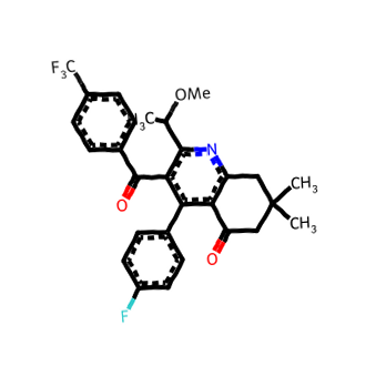 COC(C)c1nc2c(c(-c3ccc(F)cc3)c1C(=O)c1ccc(C(F)(F)F)cc1)C(=O)CC(C)(C)C2